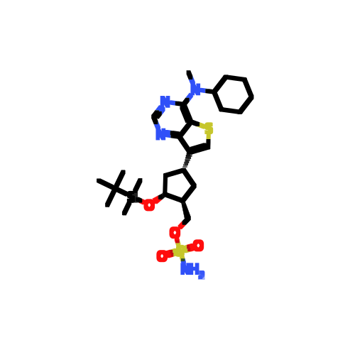 CN(c1ncnc2c([C@@H]3C[C@@H](COS(N)(=O)=O)[C@@H](O[Si](C)(C)C(C)(C)C)C3)csc12)C1CCCCC1